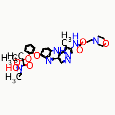 CCN(O)C(=O)C(C)(OC)Oc1ccccc1Oc1ccc(Nc2c(C#N)cnn3cc(NC(=O)OCCN4CCOCC4)c(C)c23)cc1